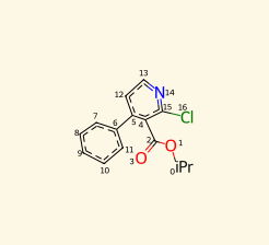 CC(C)OC(=O)c1c(-c2ccccc2)ccnc1Cl